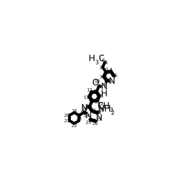 CCCc1ccnc(NC(=O)c2ccc(-c3nc(C4CCCCC4)n4ccnc(N)c34)c(C)c2)c1